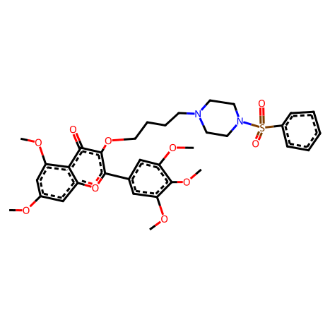 COc1cc(OC)c2c(=O)c(OCCCCN3CCN(S(=O)(=O)c4ccccc4)CC3)c(-c3cc(OC)c(OC)c(OC)c3)oc2c1